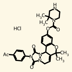 CC(=O)c1ccc(-n2c(=O)n3n(c2=O)C2C(=CC3)C(C)(C)Oc3cc(OC(=O)N4CCNCC4(C)C)ccc32)cc1.Cl